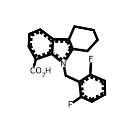 O=C(O)c1cccc2c3c(n(Cc4c(F)cccc4F)c12)CCCC3